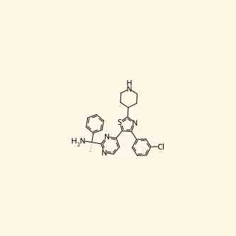 C[C@](N)(c1ccccc1)c1nccc(-c2sc(C3CCNCC3)nc2-c2cccc(Cl)c2)n1